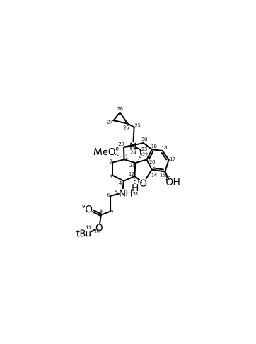 CO[C@@]12CCC(NCCC(=O)OC(C)(C)C)[C@@H]3Oc4c(O)ccc5c4[C@@]31CCN(CC1CC1)C2C5